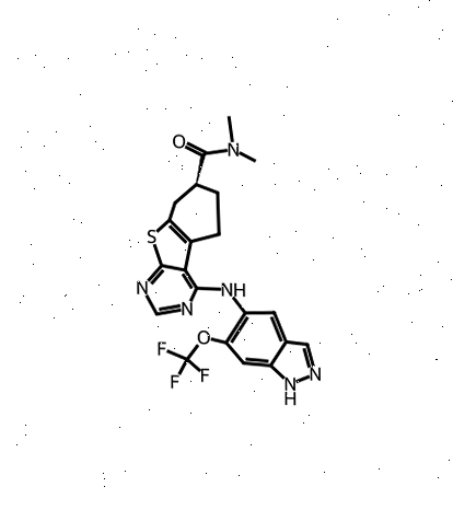 CN(C)C(=O)[C@H]1CCc2c(sc3ncnc(Nc4cc5cn[nH]c5cc4OC(F)(F)F)c23)C1